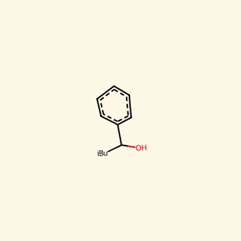 [CH2]C(CC)C(O)c1ccccc1